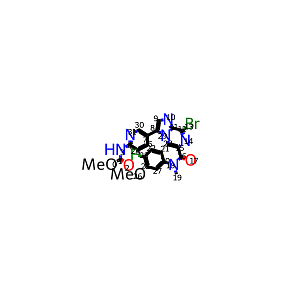 COC(=O)Nc1ccc(-c2cnc3c(Br)nc(C(=O)N(C)c4ccc(F)c(OC)c4)cn23)cn1